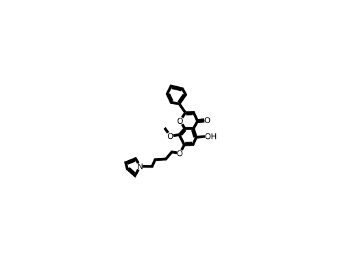 COc1c(OCCCCn2cccc2)cc(O)c2c(=O)cc(-c3ccccc3)oc12